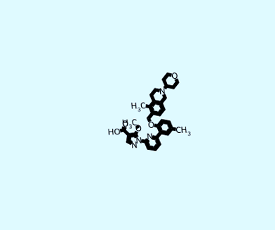 COc1c(C(=O)O)cnn1-c1cccc(-c2cc(C)ccc2OCc2ccc3c(c2C)CCN(C2CCOCC2)C3)n1